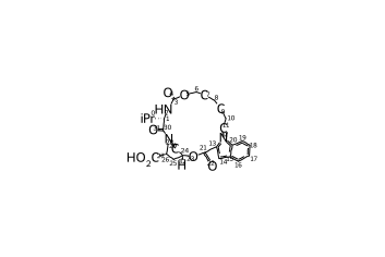 CC(C)[C@@H]1NC(=O)OCCCCCCn2c(cc3ccccc32)C(=O)O[C@@H]2C[C@@H](C(=O)O)N(C2)C1=O